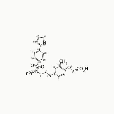 CCCN(CCSc1ccc(OCC(=O)O)c(C)c1)S(=O)(=O)c1ccc(-n2cccn2)cc1